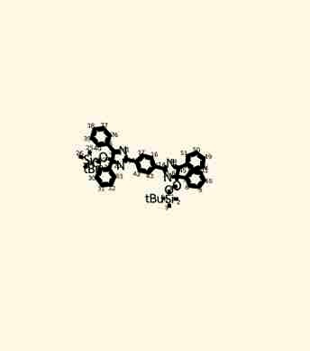 CC(C)(C)[Si](C)(C)OOC1(c2ccccc2)N=C(c2ccc(C3=NC(OO[Si](C)(C)C(C)(C)C)(c4ccccc4)C(c4ccccc4)=N3)cc2)N=C1c1ccccc1